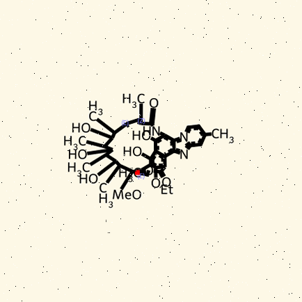 CCOc1c(C)c(O)c2c(O)c3c4c(nc5cc(C)ccn54)c2c1C(=O)O/C=C/C(OC)C(C)C(O)C(C)C(O)C(C)C(O)C(C)/C=C/C=C(/C)C(=O)N3